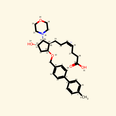 Cc1ccc(-c2ccc(CO[C@H]3C[C@H](O)[C@H](N4CCOCC4)[C@H]3CC/C=C\CCC(=O)O)cc2)cc1